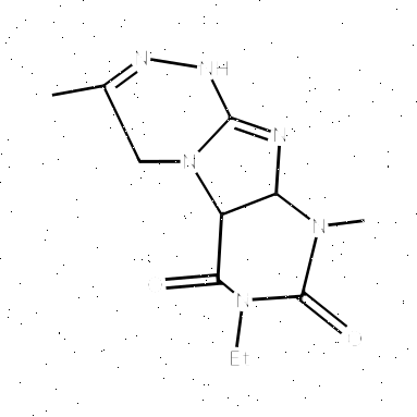 CCN1C(=O)C2C(N=C3NN=C(C)CN32)N(C)C1=O